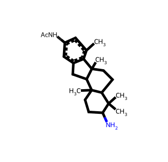 CC(=O)Nc1cc(C)c2c(c1)CC1C2(C)CCC2C(C)(C)C(N)CCC12C